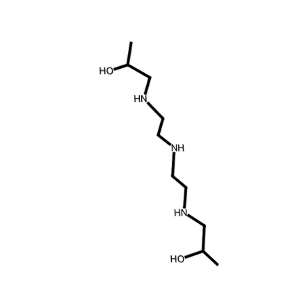 CC(O)CNCCNCCNCC(C)O